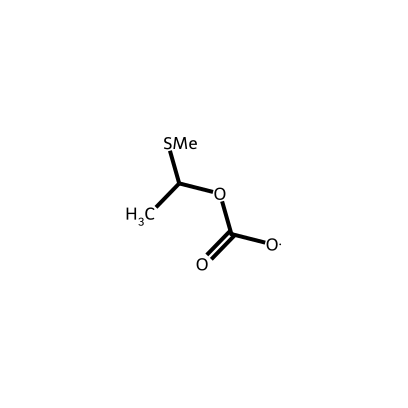 CSC(C)OC([O])=O